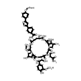 CCCCCOc1ccc(-c2cc(-c3ccc(C(=O)N[C@@H]4C[C@@H](O)C(O)NC(=O)[C@@H]5C(O)C(C)CN5C(=O)[C@H](C(O)CC(N)=O)NC(=O)[C@H](C(O)C(O)c5ccc(O)c(OS(=O)(=O)O)c5)NC(=O)[C@@H]5CC(O)CN5C(=O)[C@H](C(C)O)NC4=O)cc3)no2)cc1